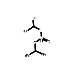 CC(C)C(O[PH](=O)OC(C(C)C)C(C)C)C(C)C